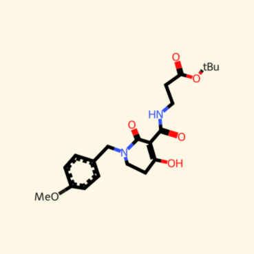 COc1ccc(CN2CCC(O)=C(C(=O)NCCC(=O)OC(C)(C)C)C2=O)cc1